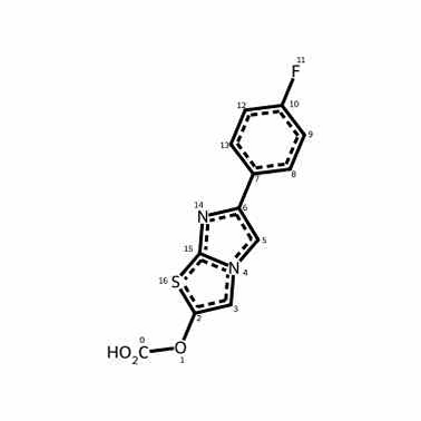 O=C(O)Oc1cn2cc(-c3ccc(F)cc3)nc2s1